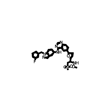 CONC(CS(C)(=O)=O)c1ccc(-c2ccc3ncnc(Nc4ccc5c(cnn5Cc5cccc(F)c5)c4)c3c2)o1